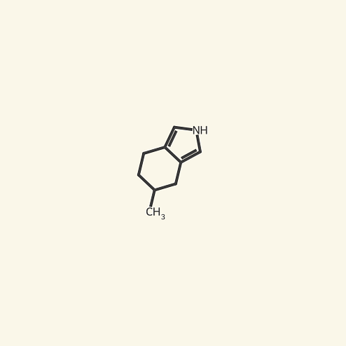 CC1CCc2c[nH]cc2C1